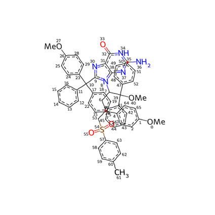 COc1ccc(C(CC(n2c(C(c3ccccc3)(c3ccccc3)c3ccc(OC)cc3)nc3c(=O)[nH]c(N)nc32)C(OC)(c2ccccc2)c2ccccc2)CS(=O)(=O)c2ccc(C)cc2)cc1